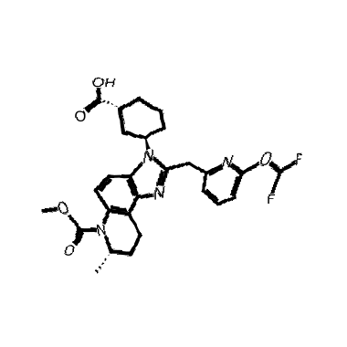 COC(=O)N1c2ccc3c(nc(Cc4cccc(OC(F)F)n4)n3[C@@H]3CCC[C@@H](C(=O)O)C3)c2CC[C@@H]1C